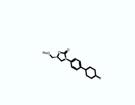 COC[C@@H]1CN(c2ccc(C3CCC(F)CC3)cc2)C(=O)O1